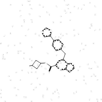 O=C(NC1CC(F)C1)c1cc(Cc2ccc(-c3cscn3)cc2)c2sccc2n1